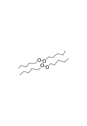 CCCCCOOCCCCC.CCCCCOOCCCCC